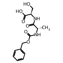 C[C@H](NC(=O)OCc1ccccc1)C(=O)N[C@H](CO)C(=O)O